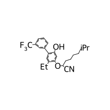 CCc1cc(-c2cccc(C(F)(F)F)c2)c(O)cc1OC(C#N)CCCCC(C)C